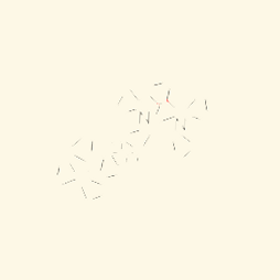 c1ccc(-c2ccccc2N(c2ccc3c(c2)Oc2c(ccc4c2-c2ccccc2C42c4ccccc4-c4ccccc42)O3)c2ccc3c4ccccc4n(-c4ccccc4)c3c2)cc1